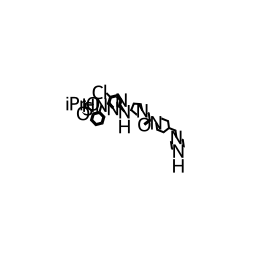 CC(C)S(=O)(=O)c1ccccc1Nc1nc(N[C@@H]2CCN(CC(=O)N3CCC(CN4CCNCC4)CC3)C2)ncc1Cl